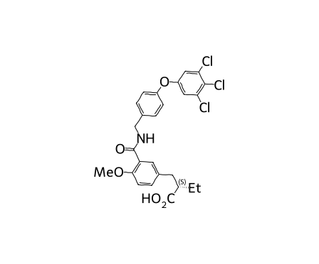 CC[C@@H](Cc1ccc(OC)c(C(=O)NCc2ccc(Oc3cc(Cl)c(Cl)c(Cl)c3)cc2)c1)C(=O)O